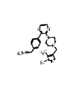 CCn1ncc(CN2CCN(c3nccnc3-c3ccc(CNC(C)=O)cc3)CC2)c1C.Cl